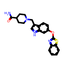 NC(=O)C1CCN(Cc2c[nH]c3cc(Oc4nc5ccccc5s4)ccc23)CC1